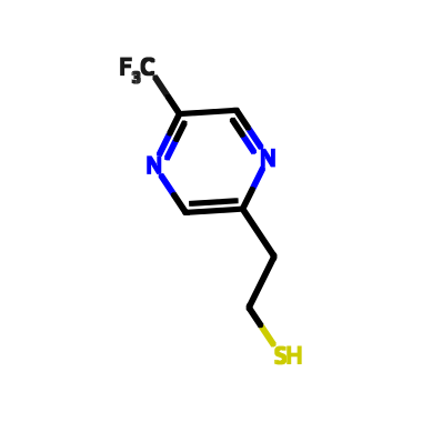 FC(F)(F)c1cnc(CCS)cn1